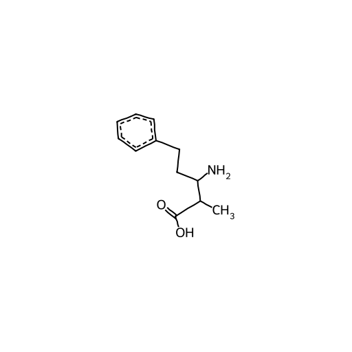 CC(C(=O)O)C(N)CCc1ccccc1